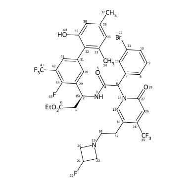 CCOC(=O)C[C@H](NC(=O)C(c1cccc(Br)c1)n1cc(CCN2CC(F)C2)c(C(F)(F)F)cc1=O)c1cc(-c2c(C)cc(C)cc2O)cc(C(F)(F)F)c1F